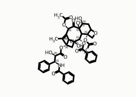 CC(=O)O[C@H]1C(=O)[C@@]2(C)C([C@H](OC(=O)c3ccccc3)[C@]3(O)C[C@@]4(OC(=O)[C@H](O)[C@@H](NC(=O)c5ccccc5)c5ccccc5)C(C)=C1[C@]34C)[C@]1(OC(C)=O)COC1C[C@@H]2O